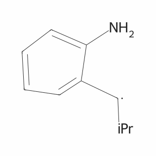 CC(C)[CH]c1ccccc1N